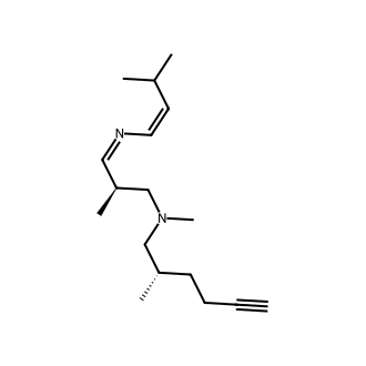 C#CCC[C@H](C)CN(C)C[C@@H](C)/C=N\C=C/C(C)C